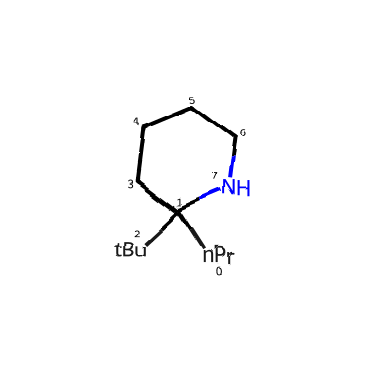 CCCC1(C(C)(C)C)CCCCN1